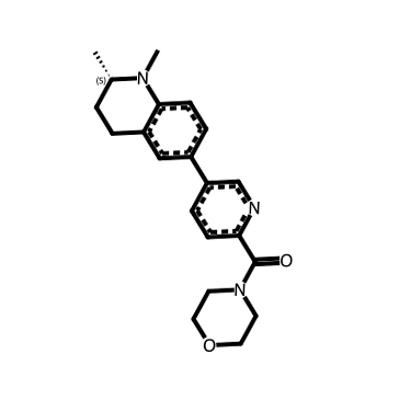 C[C@H]1CCc2cc(-c3ccc(C(=O)N4CCOCC4)nc3)ccc2N1C